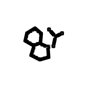 O=S(=O)=O.c1ccc2ncccc2c1